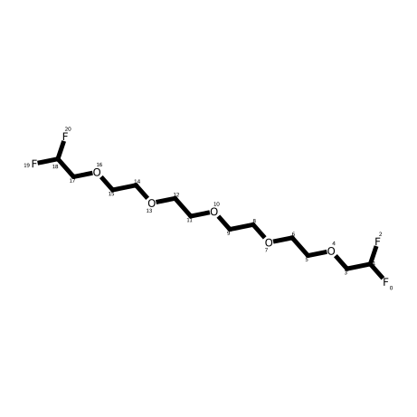 FC(F)COCCOCCOCCOCCOCC(F)F